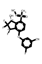 CS(=O)(=NC#N)c1ccc(Oc2cc(F)cc(C#N)c2)c2c1[C@@H](O)C(F)(F)[C@@H]2F